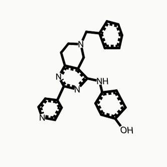 Oc1ccc(Nc2nc(-c3ccncc3)nc3c2CN(Cc2ccccc2)CC3)cc1